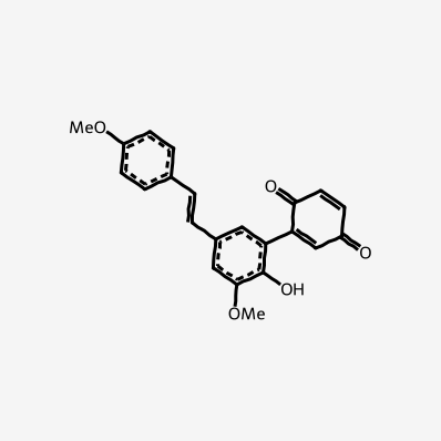 COc1ccc(/C=C/c2cc(OC)c(O)c(C3=CC(=O)C=CC3=O)c2)cc1